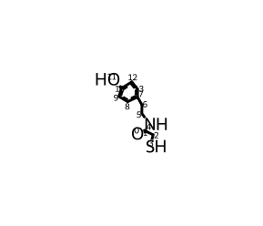 O=C(CS)NCCc1ccc(O)cc1